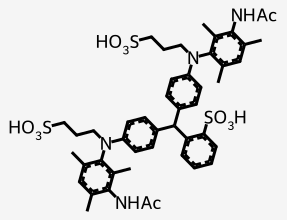 CC(=O)Nc1c(C)cc(C)c(N(CCCS(=O)(=O)O)c2ccc(C(c3ccc(N(CCCS(=O)(=O)O)c4c(C)cc(C)c(NC(C)=O)c4C)cc3)c3ccccc3S(=O)(=O)O)cc2)c1C